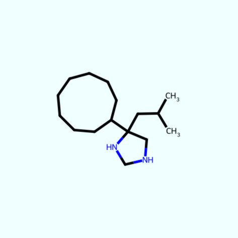 CC(C)CC1(C2CCCCCCCC2)CNCN1